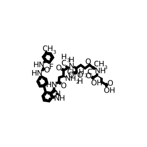 Cc1ccc(F)c(NC(=O)Nc2ccc(-c3cccc4[nH]nc(NC(=O)C[C@H](N)C(=O)C(C)(C)NC(CCC(=O)C(C)(C)N[C@@H](CCC(=O)O)C(=O)O)C(=O)O)c34)cc2)c1